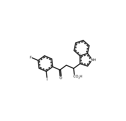 O=C(CC(C(=O)O)c1c[nH]c2ccccc12)c1ccc(F)cc1I